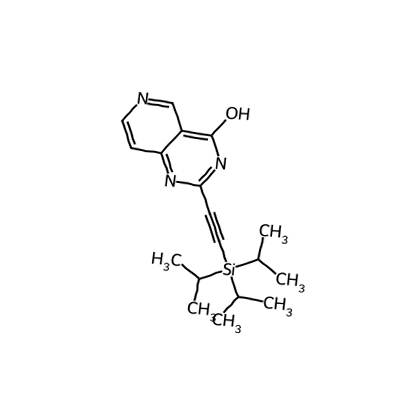 CC(C)[Si](C#Cc1nc(O)c2cnccc2n1)(C(C)C)C(C)C